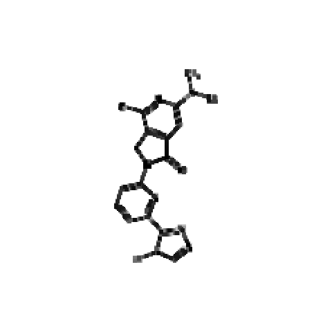 CCN(C)c1cc2c(c(Cl)n1)CN(c1cccc(-c3nncn3CC)n1)C2=O